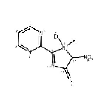 CC[N+]1(C)C(c2ncccn2)=NC(=S)C1[N+](=O)[O-]